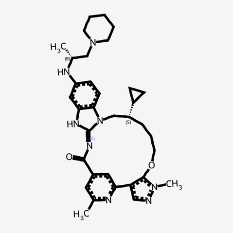 Cc1cc2cc(n1)-c1cnn(C)c1OCCC[C@@H](C1CC1)CN1/C(=N/C2=O)Nc2cc(N[C@H](C)CN3CCCCC3)ccc21